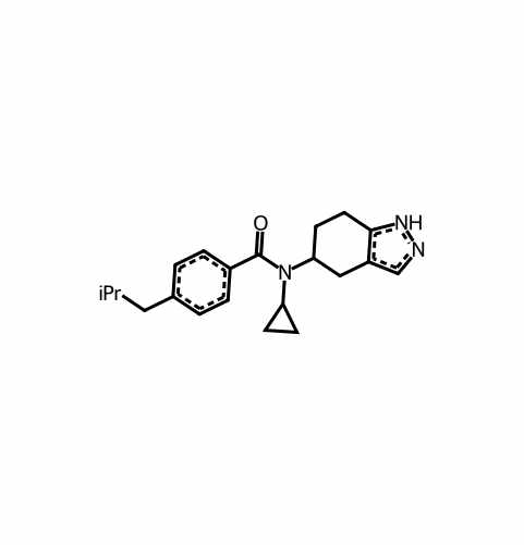 CC(C)Cc1ccc(C(=O)N(C2CC2)C2CCc3[nH]ncc3C2)cc1